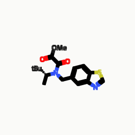 COC(=O)C(=O)N(Cc1ccc2scnc2c1)[C@H](C)C(C)(C)C